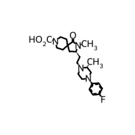 C[C@@H]1CN(c2ccc(F)cc2)CCN1CC[C@H]1CC2(CCN(C(=O)O)CC2)C(=O)N1C